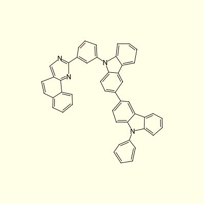 c1ccc(-n2c3ccccc3c3cc(-c4ccc5c(c4)c4ccccc4n5-c4cccc(-c5ncc6ccc7ccccc7c6n5)c4)ccc32)cc1